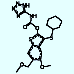 COCc1cc2sc(OC(=O)Nc3nnn[nH]3)c(SC3CCCCC3)c2cc1OC